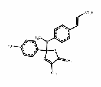 C=C1SC(c2ccc(C(F)(F)F)cc2)(N(C)c2ccc(C=CS(=O)(=O)O)cc2)N=C1C